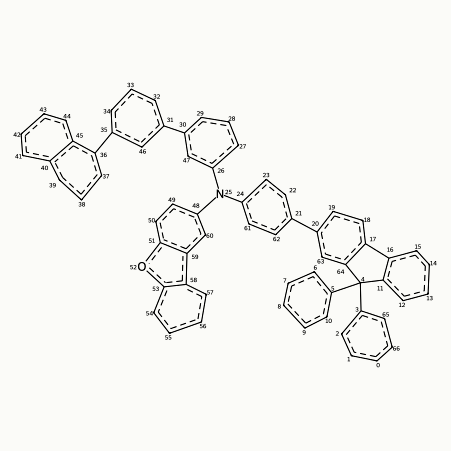 c1ccc(C2(c3ccccc3)c3ccccc3-c3ccc(-c4ccc(N(c5cccc(-c6cccc(-c7cccc8ccccc78)c6)c5)c5ccc6oc7ccccc7c6c5)cc4)cc32)cc1